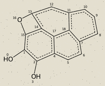 Oc1c(O)c2ccc3cccc4cc5c(c1O5)c2c34